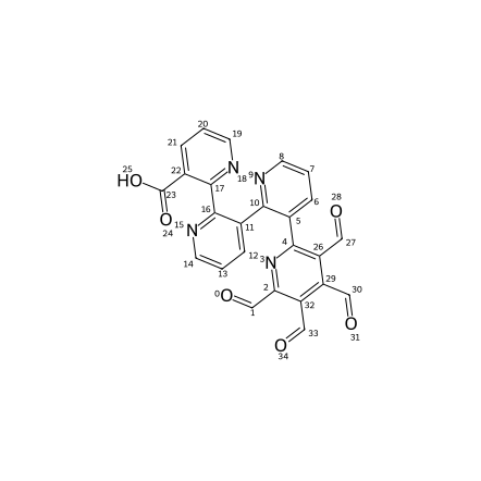 O=Cc1nc(-c2cccnc2-c2cccnc2-c2ncccc2C(=O)O)c(C=O)c(C=O)c1C=O